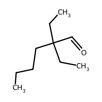 CCCCC(C=O)(CC)CC